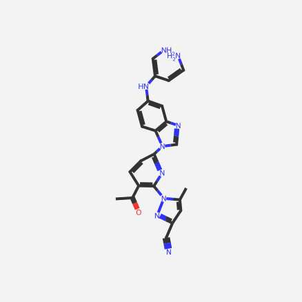 CC(=O)c1ccc(-n2cnc3cc(NC(/C=C\N)=C/N)ccc32)nc1-n1nc(C#N)cc1C